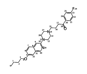 CCCCOc1ccc2cc(N3CCN(CCCC(=O)c4ccc(F)cc4)CC3)ncc2c1